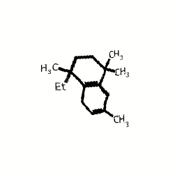 CCC1(C)CCC(C)(C)C2=C1CC=C(C)C2